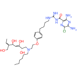 C/C=C(/CO)[C@@H](O)C=C(O)[C@@H](O)CN(CCCCCC)CCOc1ccc(CCCCNC(=N)NC(=O)c2nc(Cl)c(N)nc2N)cc1